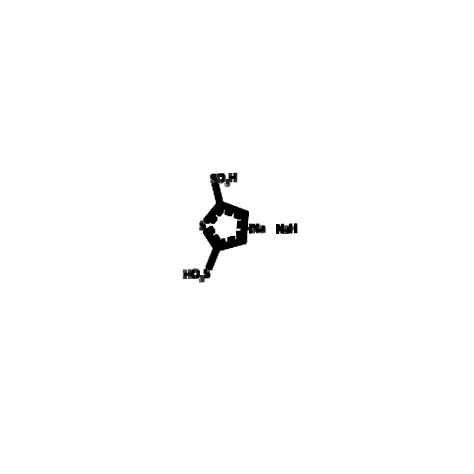 O=S(=O)(O)c1ccc(S(=O)(=O)O)s1.[NaH].[NaH]